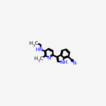 CCNc1ccc(-c2c[nH]c3c(C#N)cccc23)nc1C